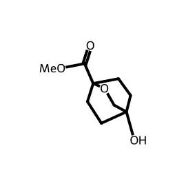 COC(=O)C12CCC(O)(CC1)CO2